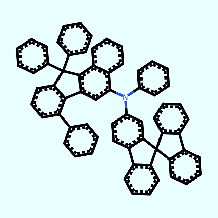 c1ccc(-c2cccc3c2-c2cc(N(c4ccccc4)c4ccc5c(c4)C4(c6ccccc6-c6ccccc64)c4ccccc4-5)c4ccccc4c2C3(c2ccccc2)c2ccccc2)cc1